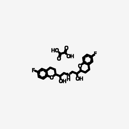 O=C(O)C(=O)O.OC(CNCC(O)C1CCc2cc(F)ccc2O1)C1CCc2cc(F)ccc2O1